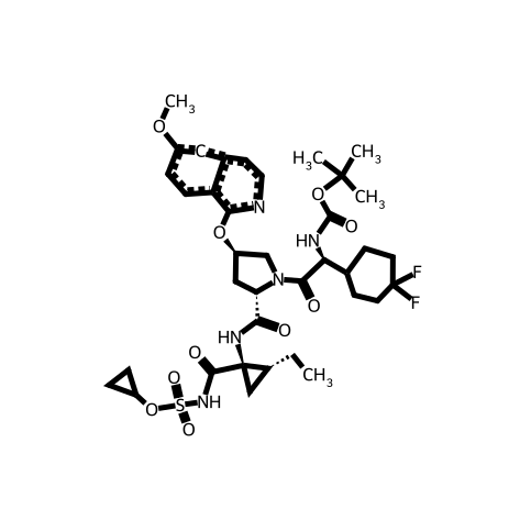 CC[C@@H]1C[C@]1(NC(=O)[C@@H]1C[C@@H](Oc2nccc3cc(OC)ccc23)CN1C(=O)[C@@H](NC(=O)OC(C)(C)C)C1CCC(F)(F)CC1)C(=O)NS(=O)(=O)OC1CC1